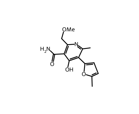 COCc1nc(C)c(-c2ccc(C)o2)c(O)c1C(N)=O